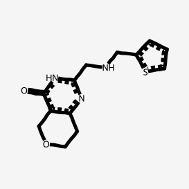 O=c1[nH]c(CNCc2cccs2)nc2c1COCC2